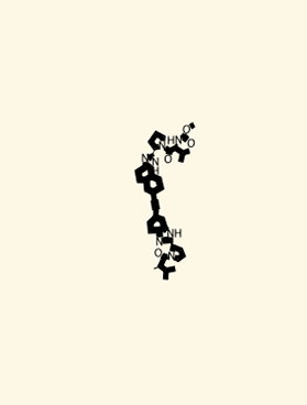 COC(=O)N[C@H](C(=O)N1CCC[C@H]1c1nc2ccc3cc(C#Cc4ccc5nc([C@@H]6CCCN6C(=O)[C@@H](C)C(C)C)[nH]c5c4)ccc3c2[nH]1)C(C)C